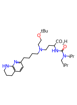 CC(C)CN(C(=O)NC(CCN(CCCCc1ccc2c(n1)NCCC2)CCOC(C)(C)C)C(=O)O)C(C)C